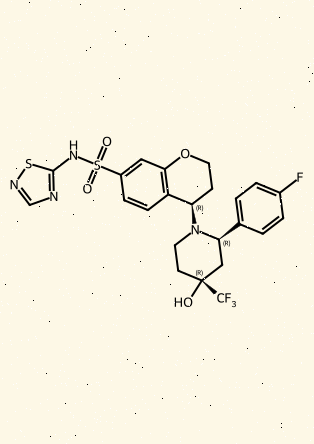 O=S(=O)(Nc1ncns1)c1ccc2c(c1)OCC[C@H]2N1CC[C@](O)(C(F)(F)F)C[C@@H]1c1ccc(F)cc1